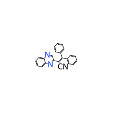 N#CC(=C(c1ccccc1)c1ccccc1)c1cnc2ccccc2n1